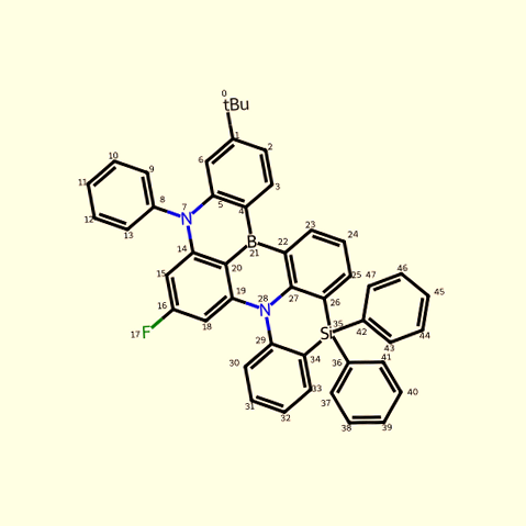 CC(C)(C)c1ccc2c(c1)N(c1ccccc1)c1cc(F)cc3c1B2c1cccc2c1N3c1ccccc1[Si]2(c1ccccc1)c1ccccc1